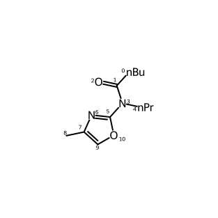 CCCCC(=O)N(CCC)c1nc(C)co1